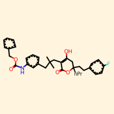 CCCC1(CCc2ccc(F)cc2)CC(O)=C(CC(C)(C)Cc2cccc(NC(=O)OCc3ccccc3)c2)C(=O)O1